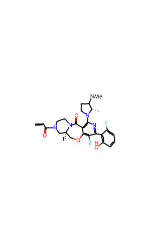 C=CC(=O)N1CCN2C(=O)c3c(N4CCC(NC)[C@@H]4C)nc(-c4c(O)cccc4F)c(F)c3OC[C@H]2C1